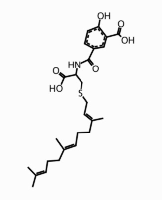 CC(C)=CCC/C(C)=C/CC/C(C)=C/CSCC(NC(=O)c1ccc(O)c(C(=O)O)c1)C(=O)O